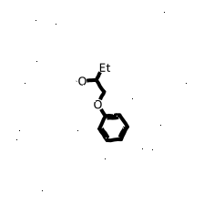 CCC([O])COc1ccccc1